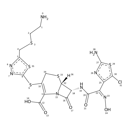 NCCSCc1nnc(SC2=C(C(=O)O)N3C(=O)[C@@H](NC(=O)/C(=N\O)c4nc(N)sc4Cl)[C@H]3SC2)s1